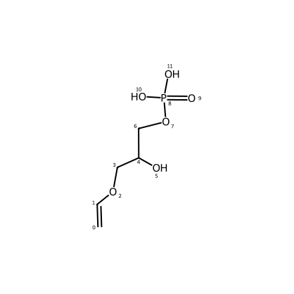 C=COCC(O)COP(=O)(O)O